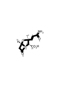 C[C@@]1(C=CC(N)=O)S[C@@H]2CC(=O)N2[C@H]1C(=O)O